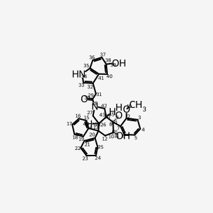 COc1ccccc1[C@@]1(O)[C@H](O)CC(c2ccccc2)(c2ccccc2)[C@@H]2CN(C(=O)Cc3c[nH]c4ccc(O)cc34)C[C@@H]21